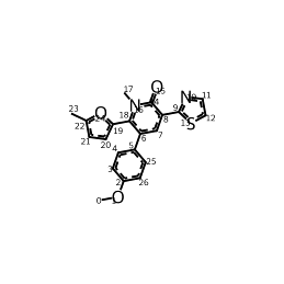 COc1ccc(-c2cc(-c3nccs3)c(=O)n(C)c2-c2ccc(C)o2)cc1